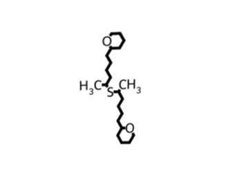 CC(CCCCC1CCCCO1)SC(C)CCCCC1CCCCO1